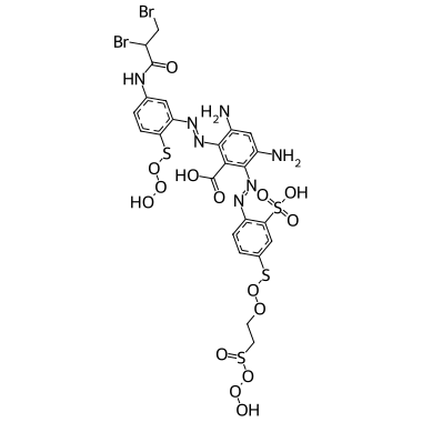 Nc1cc(N)c(N=Nc2ccc(SOOCCS(=O)OOO)cc2S(=O)(=O)O)c(C(=O)O)c1N=Nc1cc(NC(=O)C(Br)CBr)ccc1SOOO